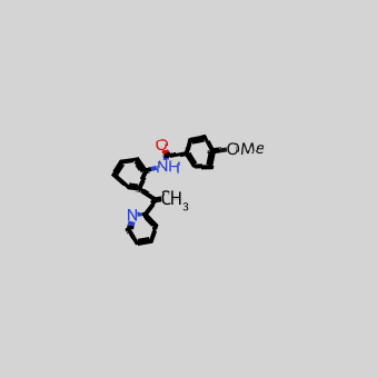 COc1ccc(C(=O)Nc2ccccc2C(C)c2ccccn2)cc1